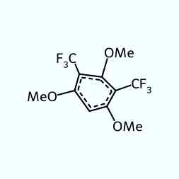 COc1cc(OC)c(C(F)(F)F)c(OC)c1C(F)(F)F